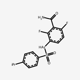 CC(C)c1ccc(S(=O)(=O)[AsH]c2ccc(F)c(C(N)=O)c2F)cc1